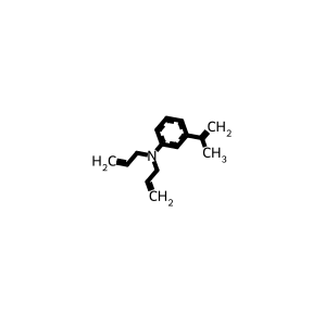 C=CCN(CC=C)c1cccc(C(=C)C)c1